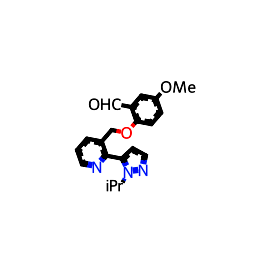 COc1ccc(OCc2cccnc2-c2ccnn2C(C)C)c(C=O)c1